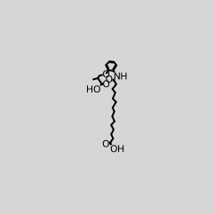 CC(COc1ccccc1NC(=O)CCCCCCCCCCCCCC(=O)O)C(=O)O